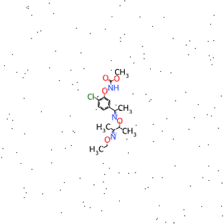 CCO/N=C(\C)C(C)O/N=C(\C)c1ccc(Cl)c(ONC(=O)OC)c1